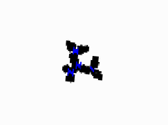 CC(C)(C)c1ccc(N(c2ccc(C(C)(C)C)cc2)c2ccc3cc4c5cc6c(c7ccccc7n6-c6c#cccc6)c6c7cc8ccc(N(c9ccc(C(C)(C)C)cc9)c9ccc(C(C)(C)C)cc9)cc8cc7n(c4cc3c2)c56)cc1